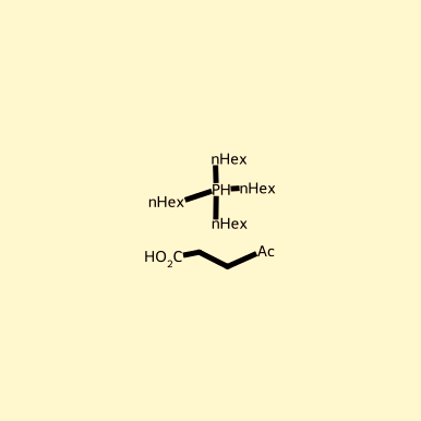 CC(=O)CCC(=O)O.CCCCCC[PH](CCCCCC)(CCCCCC)CCCCCC